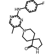 Cc1cnc(Nc2ccc(F)cc2)nc1N1CCC2(CCNC2=O)CC1